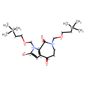 C[Si](C)(C)CCOCN1CCC(=O)c2cc(Br)n(COCC[Si](C)(C)C)c2C1=O